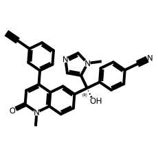 C#Cc1cccc(-c2cc(=O)n(C)c3ccc([C@](O)(c4ccc(C#N)cc4)c4cncn4C)cc23)c1